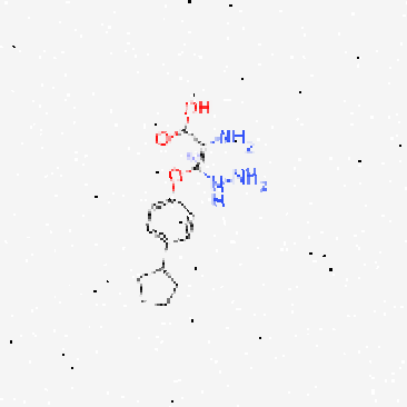 NN/C(Oc1ccc(C2CCCC2)cc1)=C(\N)C(=O)O